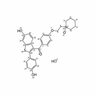 Cl.O=C(c1ccc(OCC[N+]2([O-])CCCCC2)cc1)c1c(-c2ccc(O)cc2)sc2cc(O)ccc12